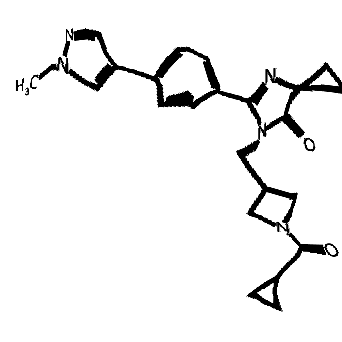 Cn1cc(-c2ccc(C3=NC4(CC4)C(=O)N3CC3CN(C(=O)C4CC4)C3)cc2)cn1